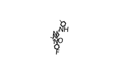 Cc1cccc(NCc2cc3n(n2)C(C)CN(c2ccc(F)cc2)C3=O)c1